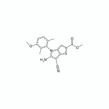 COC(=O)c1cc2c(s1)c(C#N)c(N)n2-c1c(C)ccc(OC)c1C